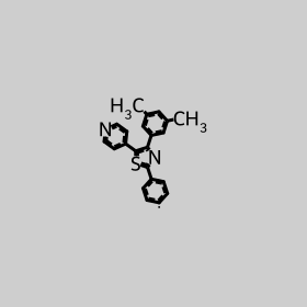 Cc1cc(C)cc(-c2nc(-c3cc[c]cc3)sc2-c2ccncc2)c1